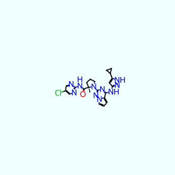 C[C@@]1(C(=O)Nc2ncc(Cl)cn2)CCCN1c1nc(Nc2cc(C3CC3)[nH]n2)c2cccn2n1